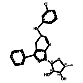 C[C@H]1O[C@@H](n2nc(-c3ccccc3)c3c2N=CN(Nc2cccc(Cl)c2)C3)[C@H](O)[C@@H]1O